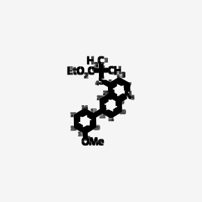 CCOC(=O)C(C)(C)Sc1ccnc2ccc(-c3cccc(OC)c3)cc12